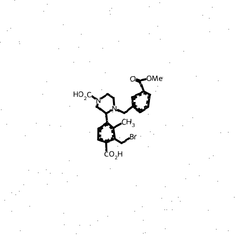 COC(=O)c1cccc(CN2CCN(C(=O)O)CC2c2ccc(C(=O)O)c(CBr)c2C)c1